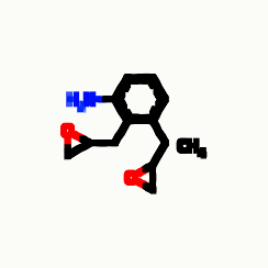 C.Nc1cccc(CC2CO2)c1CC1CO1